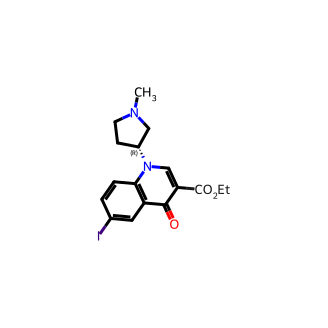 CCOC(=O)c1cn([C@@H]2CCN(C)C2)c2ccc(I)cc2c1=O